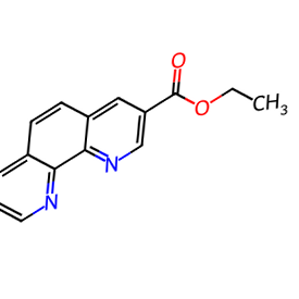 CCOC(=O)c1cnc2c(ccc3cccnc32)c1